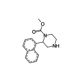 COC(=O)N1CCNCC1c1cccc2ccccc12